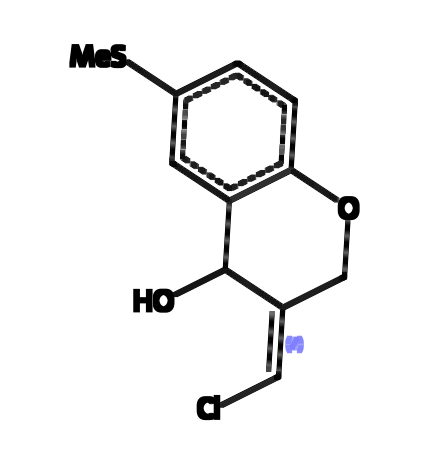 CSc1ccc2c(c1)C(O)/C(=C\Cl)CO2